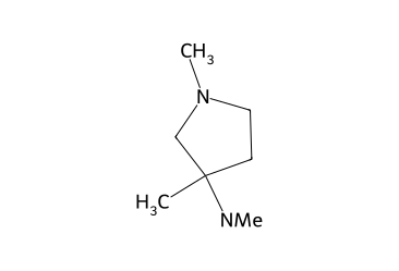 CNC1(C)CCN(C)C1